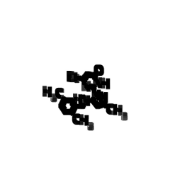 CCc1cc(=O)[nH]c(-n2nc(C)cc2NCc2cc(C)ccc2C)n1